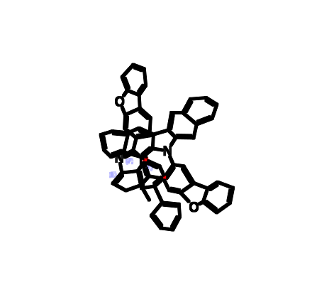 CC1C/C=C(c2cccc(-c3ccccc3)c2)/N=C(c2ccc3c(c2)oc2ccccc23)\N=C/1c1cc2oc3ccccc3c2cc1-n1c2cc3ccccc3cc2c2cc3ccccc3cc21